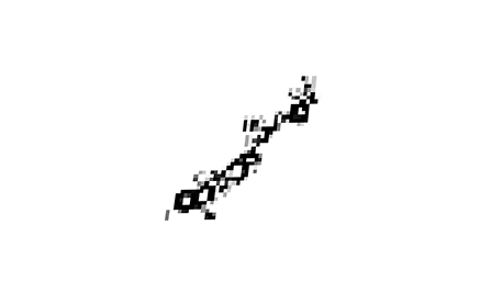 CCn1cc(S(=O)(=O)N2CCC3(CC2)CC(NCC(O)COc2cccc(S(=O)(=O)NC)c2)CO3)c(=O)c2ccc(F)cc21